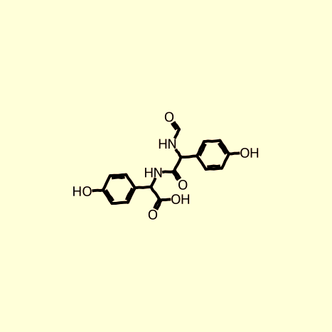 O=CNC(C(=O)NC(C(=O)O)c1ccc(O)cc1)c1ccc(O)cc1